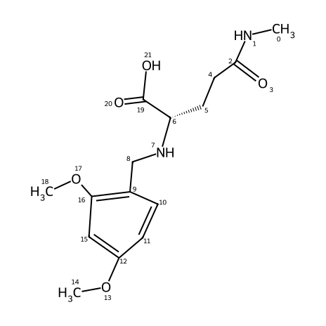 CNC(=O)CC[C@H](NCc1ccc(OC)cc1OC)C(=O)O